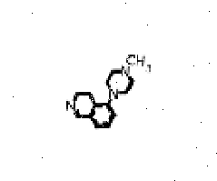 CN1CCN(c2cccc3c2CCN=C3)CC1